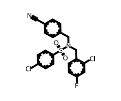 N#Cc1ccc(CN(Cc2ccc(F)cc2Cl)S(=O)(=O)c2ccc(Cl)cc2)cc1